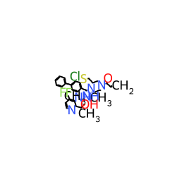 C=CC(=O)N1CC(C)N2C(=N)c3c(Nc4c(C)ccnc4C(C)O)c(F)c(-c4ccccc4F)c(Cl)c3SCC2C1